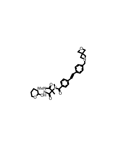 CNC(=O)C(C)(C(=O)NOC1CCCCO1)N(C)C(=O)c1ccc(C#Cc2ccc(CN3CC4(COC4)C3)cc2)cc1